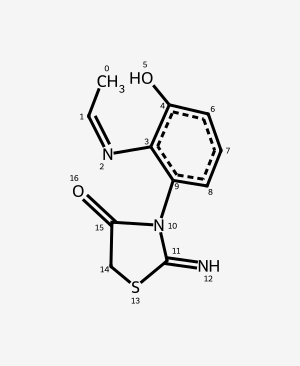 C/C=N\c1c(O)cccc1N1C(=N)SCC1=O